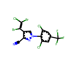 N#Cc1nn(-c2c(Cl)cc(C(F)(F)F)cc2Cl)cc1C(Br)=C(Cl)Br